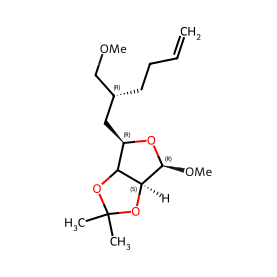 C=CCC[C@@H](COC)C[C@H]1O[C@@H](OC)[C@H]2OC(C)(C)OC12